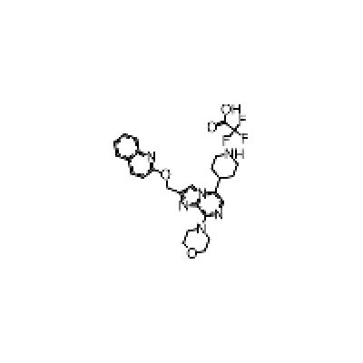 O=C(O)C(F)(F)F.c1ccc2nc(OCc3cn4c(C5CCNCC5)cnc(N5CCOCC5)c4n3)ccc2c1